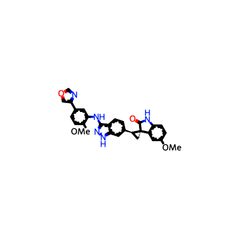 COc1ccc2c(c1)[C@]1(C[C@H]1c1ccc3c(Nc4cc(-c5cocn5)ccc4OC)n[nH]c3c1)C(=O)N2